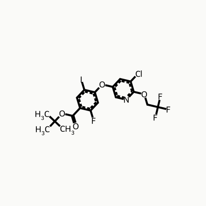 CC(C)(C)OC(=O)c1cc(I)c(Oc2cnc(OCC(F)(F)F)c(Cl)c2)cc1F